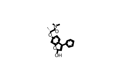 C[C@@H](Oc1ccc2c(c1)OC(O)C=C2c1ccccc1)C(=O)N(C)C